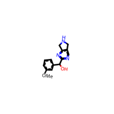 COc1cccc(C(O)c2ncc3c(n2)CNC3)c1